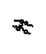 COc1ccc(-c2ccc(CN)o2)c(Sc2nc3c(N)ncnc3n2CCC2CCN(C(C)=O)CC2)c1